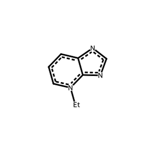 CCn1cccc2ncnc1-2